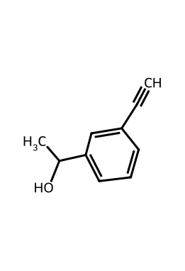 C#Cc1cccc(C(C)O)c1